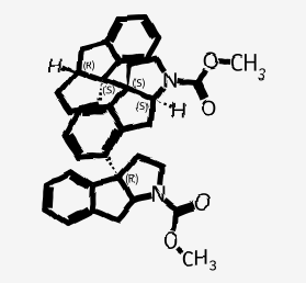 COC(=O)N1CC[C@]2(c3cccc4c3C[C@@H]3N(C(=O)OC)CC[C@]43[C@@]34CCC[C@@H]3Cc3ccccc34)c3ccccc3CC12